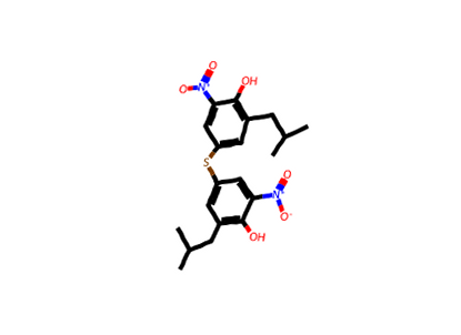 CC(C)Cc1cc(Sc2cc(CC(C)C)c(O)c([N+](=O)[O-])c2)cc([N+](=O)[O-])c1O